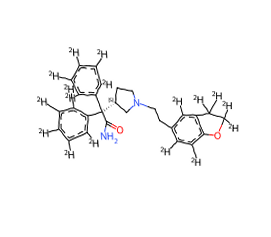 [2H]c1c([2H])c([2H])c(C(C(N)=O)(c2c([2H])c([2H])c([2H])c([2H])c2[2H])[C@@H]2CCN(CCc3c([2H])c([2H])c4c(c3[2H])C([2H])([2H])C([2H])([2H])O4)C2)c([2H])c1[2H]